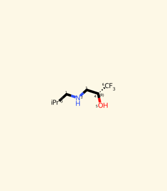 CC(C)CNC[C@@H](O)C(F)(F)F